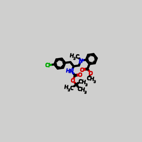 COC(=O)c1ccccc1N(C)CC(Cc1ccc(Cl)cc1)NC(=O)OC(C)(C)C